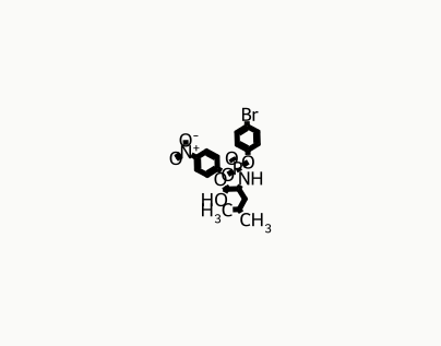 CC(C)CC(NP(=O)(Oc1ccc(Br)cc1)Oc1ccc([N+](=O)[O-])cc1)C(=O)O